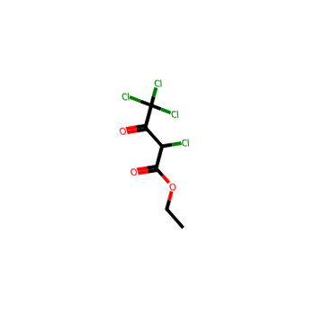 CCOC(=O)C(Cl)C(=O)C(Cl)(Cl)Cl